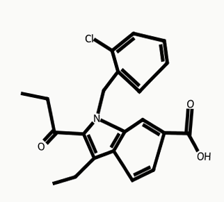 CCC(=O)c1c(CC)c2ccc(C(=O)O)cc2n1Cc1ccccc1Cl